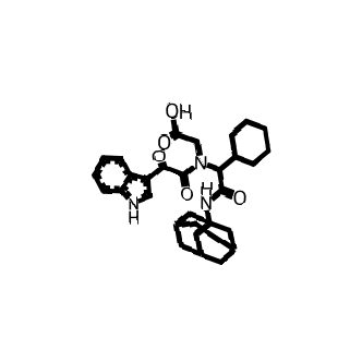 O=C(O)CN(C(=O)C(=O)c1c[nH]c2ccccc12)C(C(=O)NC12CC3CC(CC(C3)C1)C2)C1CCCCC1